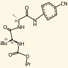 CC[C@H](C)[C@H](NC(=O)OC(C)C)C(=O)N[C@H](C)C(=O)Nc1ccc(C#N)cc1